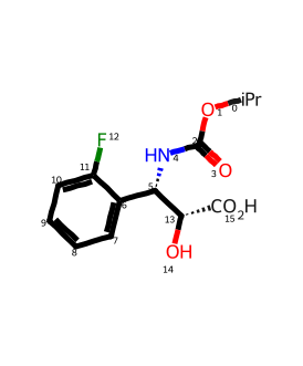 CC(C)OC(=O)N[C@@H](c1ccccc1F)[C@@H](O)C(=O)O